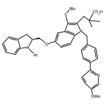 COc1ccc(-c2ccc(Cn3c(CC(C)(C)C(=O)O)c(SC(C)(C)C)c4cc(OC[C@@H]5Cc6ccccc6N5C(C)=O)ccc43)cc2)nc1